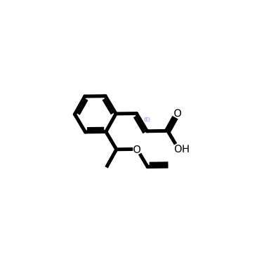 C=COC(C)c1ccccc1/C=C/C(=O)O